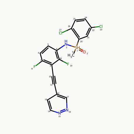 C[SH](=O)(Nc1ccc(F)c(C#Cc2ccnnc2)c1F)c1cc(Cl)ccc1Cl